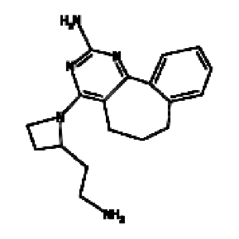 NCCC1CCN1c1nc(N)nc2c1CCCc1ccccc1-2